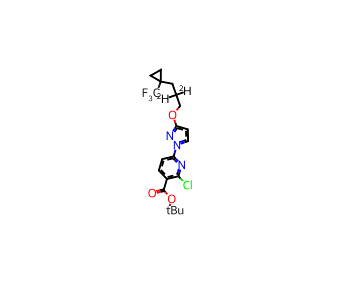 [2H]C([2H])(COc1ccn(-c2ccc(C(=O)OC(C)(C)C)c(Cl)n2)n1)CC1(C(F)(F)F)CC1